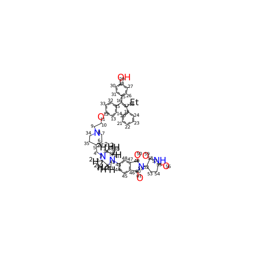 [2H]C1([2H])N(CC2CCN(CCOc3ccc(C(=C(CC)c4ccccc4)c4ccc(O)cc4)cc3)CC2)C([2H])([2H])C([2H])([2H])N(c2ccc3c(c2)C(=O)N(C2CCC(=O)NC2=O)C3=O)C1([2H])[2H]